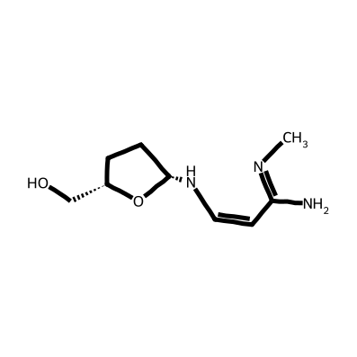 CN=C(N)/C=C\N[C@H]1CC[C@@H](CO)O1